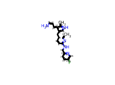 C=C/N=C(\C=C/CCc1c[nH]c(=C)/c1=C\C=C/N)NCc1ccc(F)cn1